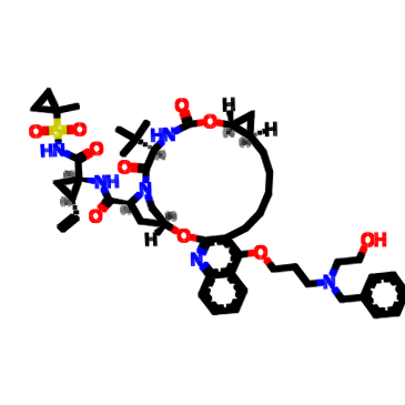 C=C[C@@H]1C[C@]1(NC(=O)[C@@H]1C[C@@H]2CN1C(=O)[C@H](C(C)(C)C)NC(=O)O[C@@H]1C[C@H]1CCCCCc1c(nc3ccccc3c1OCCCN(CCO)Cc1ccccc1)O2)C(=O)NS(=O)(=O)C1(C)CC1